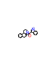 Cn1cc(C(=O)N2CCCC3c4ccccc4CC[C@@H]32)c2ccccc21